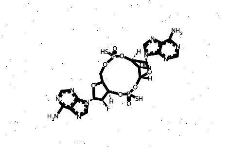 Nc1ncnc2c1ncn2[C@@H]1OC2COP(=O)(S)O[C@@H]3[C@H](O)[C@H](O[C@H]3n3cnc4c(N)ncnc43)OP(=O)(S)O[C@H]2[C@H]1F